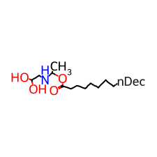 CCCCCCCCCCCCCCCCCC(=O)OC(C)NCC(O)O